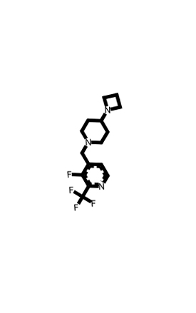 Fc1c(CN2CCC(N3CCC3)CC2)ccnc1C(F)(F)F